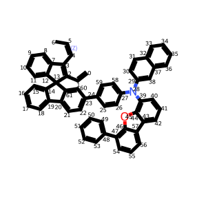 C=CC1=C(/C=C\C)c2ccccc2C12c1ccccc1-c1ccc(-c3ccc(N(c4ccc5ccccc5c4)c4cccc5c4oc4c(-c6ccccc6)cccc45)cc3)cc12